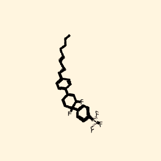 CCCCCCCCc1ccc(C2CCC(F)(c3ccc(S(F)(F)F)cc3)C(F)C2)cc1